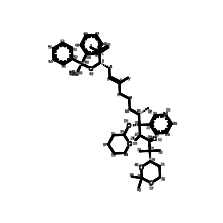 C=C(C)[C@H](C/C=C(\C)CCC[C@H](C)[C@@](OC1CCCCO1)(c1cccnc1)C(C)C(=O)C(C)(C)[C@@H]1CCOC(C)(C)O1)O[Si](c1ccccc1)(c1ccccc1)C(C)(C)C